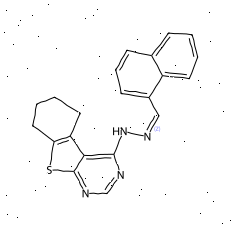 C(=N/Nc1ncnc2sc3c(c12)CCCC3)/c1cccc2ccccc12